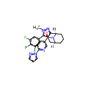 Cn1nc2c(c1-c1cc(F)c(F)c(F)c1)C[C@@H]1CCC[C@H]2N1C(=O)c1ccc(-n2cccn2)nc1